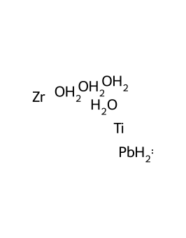 O.O.O.O.[PbH2].[Ti].[Zr]